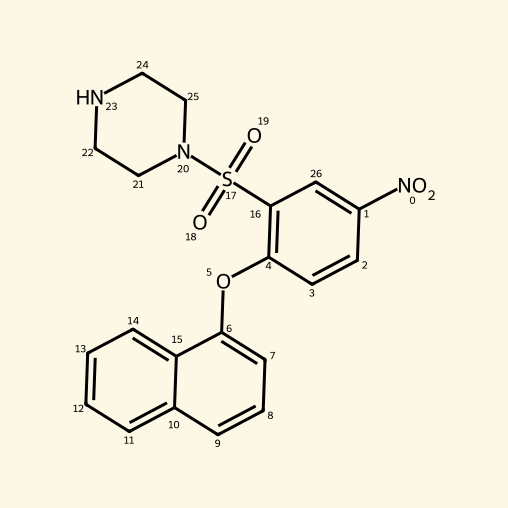 O=[N+]([O-])c1ccc(Oc2cccc3ccccc23)c(S(=O)(=O)N2CCNCC2)c1